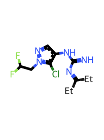 CCC(CC)=NC(=N)Nc1cnn(CC(F)F)c1Cl